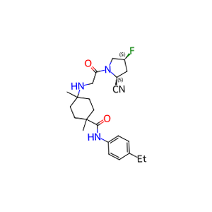 CCc1ccc(NC(=O)C2(C)CCC(C)(NCC(=O)N3C[C@@H](F)C[C@H]3C#N)CC2)cc1